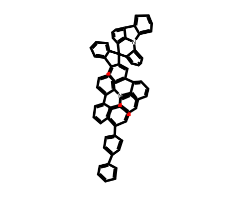 c1ccc(-c2ccc(-c3ccc(N(c4ccccc4-c4ccc5c(c4)C4(c6ccccc6-5)c5ccccc5-n5c6ccccc6c6cccc4c65)c4ccccc4-c4ccccc4-c4ccccc4)cc3)cc2)cc1